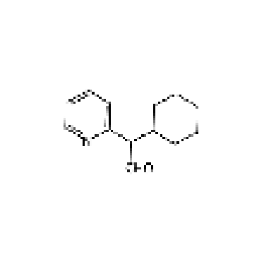 O=CC(c1ccccn1)C1CCCCC1